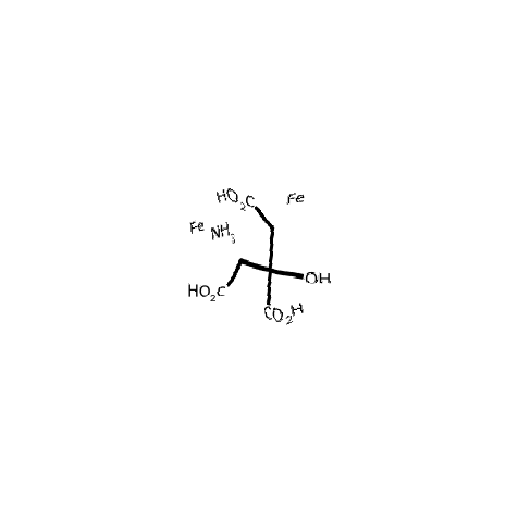 N.O=C(O)CC(O)(CC(=O)O)C(=O)O.[Fe].[Fe]